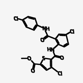 COC(=O)c1cc(Cl)c(C(=O)Nc2ccc(Cl)cc2C(=O)Nc2ccc(Cl)cc2)s1